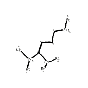 CC[SiH2]CCCC(N(CC)CC)N(CC)CC